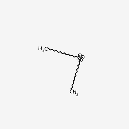 CCCCCCCCCCCCCCCCOS(=O)(=O)SCCCCCCCCCCCCCCCC